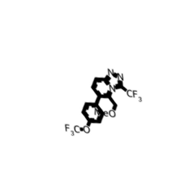 COCc1c(-c2ccc(OC(F)(F)F)cc2)ccc2nnc(C(F)(F)F)n12